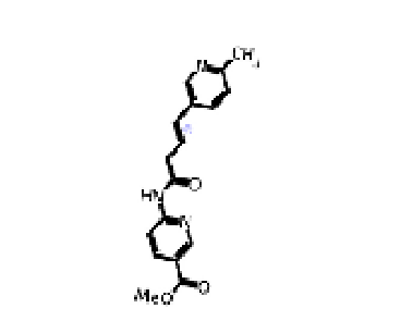 COC(=O)c1ccc(NC(=O)C/C=C/c2ccc(C)nc2)nc1